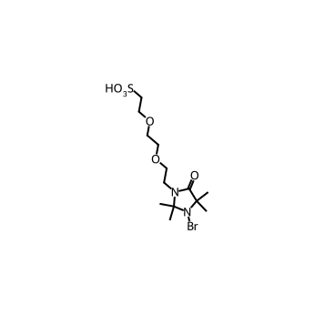 CC1(C)C(=O)N(CCOCCOCCS(=O)(=O)O)C(C)(C)N1Br